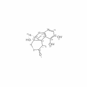 CC1C(=O)CC[C@@]2(O)[C@@H]3CC[C@]12c1c(ccc(O)c1O)C3